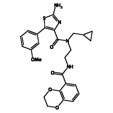 COc1cccc(-c2sc(N)nc2C(=O)N(CCNC(=O)c2cccc3c2OCCO3)CC2CC2)c1